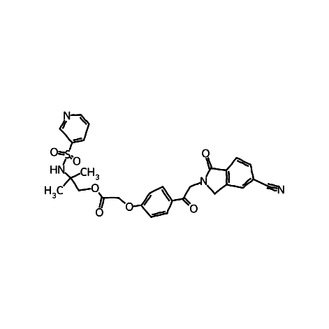 CC(C)(COC(=O)COc1ccc(C(=O)CN2Cc3cc(C#N)ccc3C2=O)cc1)NS(=O)(=O)c1cccnc1